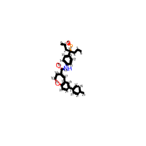 CCCC(CCC)(P=O)c1ccc(NC(=O)C2=Cc3cc(-c4ccc(C)cc4)ccc3OCC2)cc1